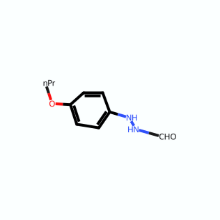 CCCOc1ccc(NNC=O)cc1